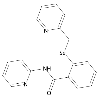 O=C(Nc1ccccn1)c1ccccc1[Se]Cc1ccccn1